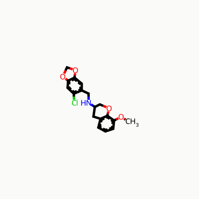 COc1cccc2c1OCC(NCc1cc3c(cc1Cl)OCO3)C2